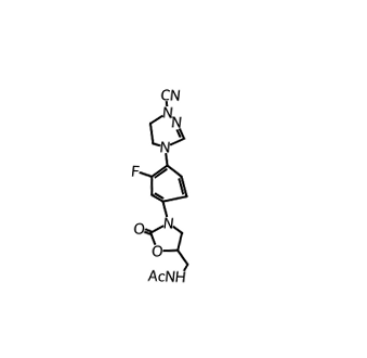 CC(=O)NCC1CN(c2ccc(N3C=NN(C#N)CC3)c(F)c2)C(=O)O1